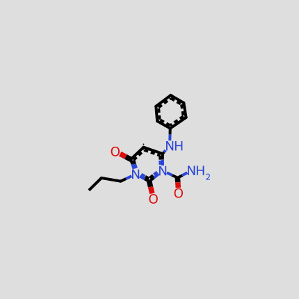 CCCn1c(=O)[c]c(Nc2ccccc2)n(C(N)=O)c1=O